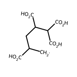 [CH2]C(CC(C(=O)O)C(C(=O)O)C(=O)O)C(=O)O